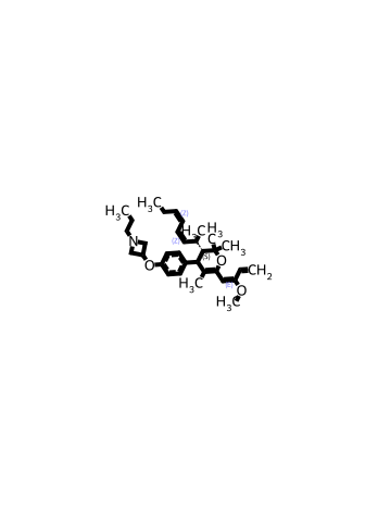 C=C/C(=C\C1=C(C)C(c2ccc(OC3CN(CCC)C3)cc2)[C@H](C(C)/C=C\C=C/CC)C(C)(C)O1)OC